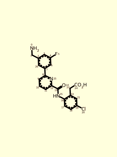 NCc1cc(F)cc(-c2cccc(C(=O)Nc3ccc(Cl)cc3CC(=O)O)n2)c1